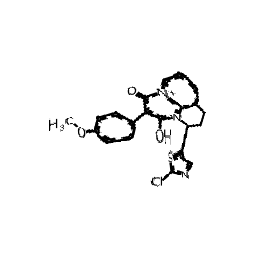 COc1ccc(-c2c(O)n3c4c(ccc[n+]4c2=O)CCC3c2cnc(Cl)s2)cc1